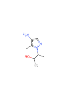 CCC(O)C(C)n1ncc(N)c1C